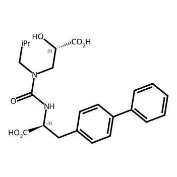 CC(C)CN(C[C@H](O)C(=O)O)C(=O)N[C@@H](Cc1ccc(-c2ccccc2)cc1)C(=O)O